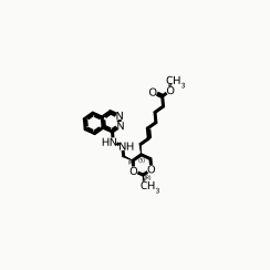 COC(=O)CCCC=CC[C@H]1CO[C@@H](C)O[C@H]1CNNc1nncc2ccccc12